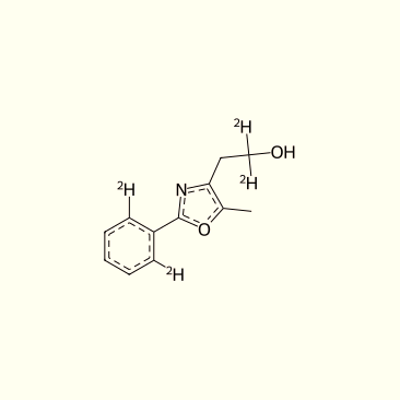 [2H]c1cccc([2H])c1-c1nc(CC([2H])([2H])O)c(C)o1